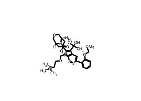 COCOc1ccccc1-c1cc2c(C(C)(C)O)c(C3C[C@H]4COC[C@@H](C3)N4C(=O)OC(C)(C)C)n(COCC[Si](C)(C)C)c2nn1